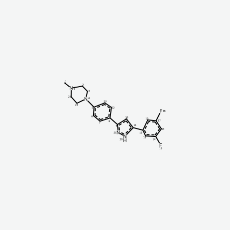 CN1CCN(c2ccc(-c3cc(-c4cc(F)cc(F)c4)[nH]n3)cc2)CC1